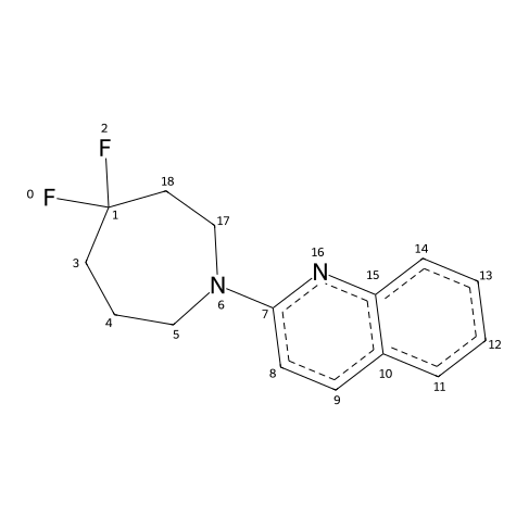 FC1(F)CCCN(c2ccc3ccccc3n2)CC1